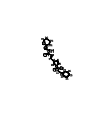 O=C(C=Cc1ccn(S(=O)(=O)Cc2ccccc2)c1)NOC1CCCCO1